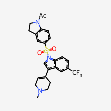 CC(=O)N1CCc2cc(S(=O)(=O)n3cc(C4=CCN(C)CC4)c4cc(C(F)(F)F)ccc43)ccc21